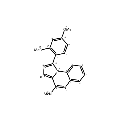 CNc1nc2ccccc2n2c(-c3ccc(OC)cc3OC)cnc12